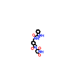 O=C1CCC(N2Cc3cc(CNC(=O)c4n[nH]c5ccccc45)ccc3C2=O)C(=O)N1